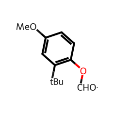 COc1ccc(O[C]=O)c(C(C)(C)C)c1